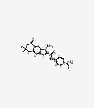 CC1(C)CC(=O)c2cc3c(N)c(C(=O)Nc4ccc([N+](=O)[O-])cc4)sc3nc2C1